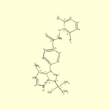 CC(C)(C)n1nc(-c2ccc(C(=O)NCc3c(F)cccc3Cl)cc2)c2c(N)ncnc21